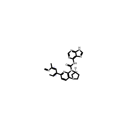 C=N/C(C)=C\C(=C/C)c1ccc2c(n1)N(C(=O)Nc1ncnc3[nH]cnc13)[C@H]1CCN2C1